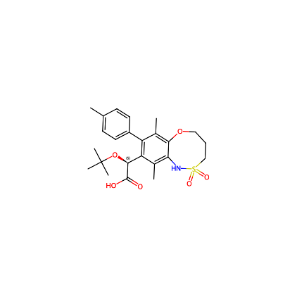 Cc1ccc(-c2c(C)c3c(c(C)c2[C@H](OC(C)(C)C)C(=O)O)NS(=O)(=O)CCCO3)cc1